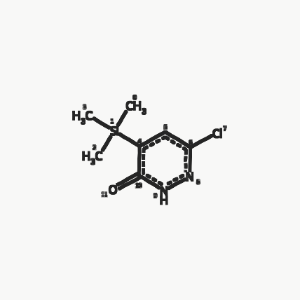 C[Si](C)(C)c1cc(Cl)n[nH]c1=O